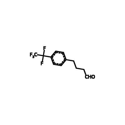 O=CCCCc1ccc(C(F)(F)C(F)(F)F)cc1